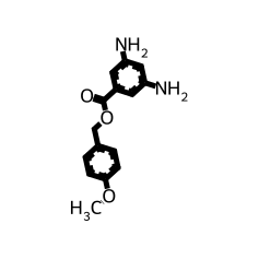 COc1ccc(COC(=O)c2cc(N)cc(N)c2)cc1